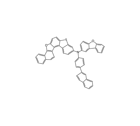 c1ccc2cc(-c3ccc(N(c4ccc5c(c4)sc4ccc6oc7c8ccccc8ccc7c6c45)c4ccc5oc6ccccc6c5c4)cc3)ccc2c1